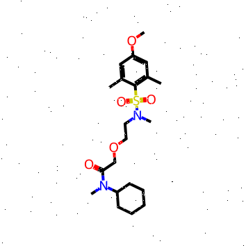 COc1cc(C)c(S(=O)(=O)N(C)CCOCC(=O)N(C)C2CCCCC2)c(C)c1